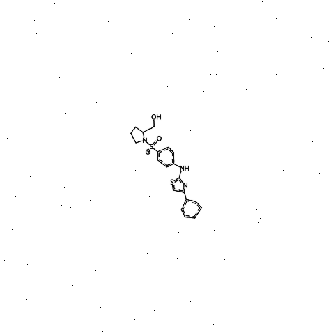 O=S(=O)(c1ccc(Nc2nc(-c3ccccc3)cs2)cc1)N1CCCC1CO